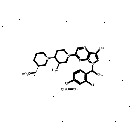 CC(c1ccc(Cl)cc1Cl)n1nc(C#N)c2ncc(N3CC[C@H](N4CCC[C@@H](CC(=O)O)C4)[C@H](C)C3)nc21.O=CO